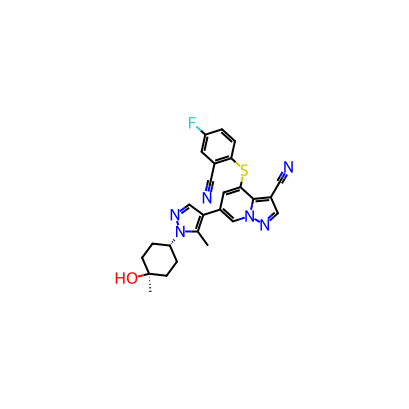 Cc1c(-c2cc(Sc3ccc(F)cc3C#N)c3c(C#N)cnn3c2)cnn1[C@H]1CC[C@](C)(O)CC1